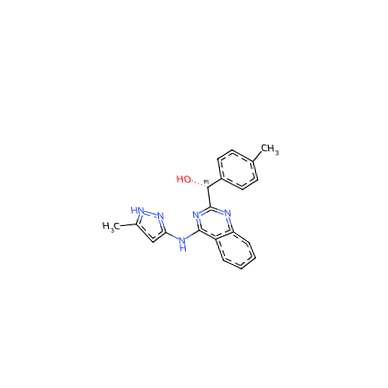 Cc1ccc([C@@H](O)c2nc(Nc3cc(C)[nH]n3)c3ccccc3n2)cc1